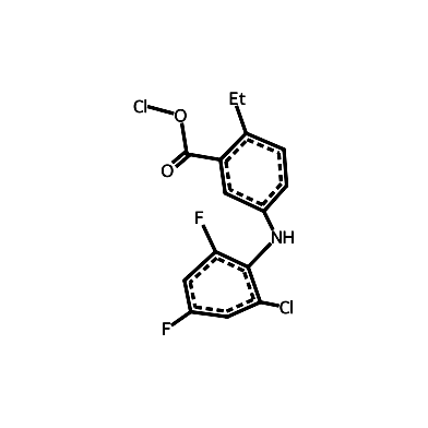 CCc1ccc(Nc2c(F)cc(F)cc2Cl)cc1C(=O)OCl